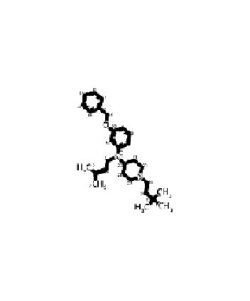 CC(C)=CCN(c1cccc(OCc2ccccc2)c1)C1CCN(CCC(C)(C)C)CC1